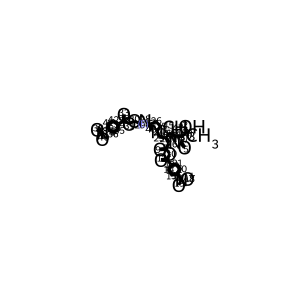 C[C@@H](O)[C@H]1C(=O)N2C(C(=O)OC(=O)c3ccc([N+](=O)[O-])cc3)=C(CN3CC[C@H](/N=C/OOC(=O)c4ccc([N+](=O)[O-])cc4)C3)[C@H](C)[C@H]12